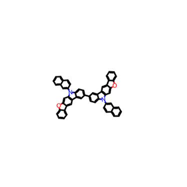 c1ccc2cc(-n3c4ccc(-c5ccc6c(c5)c5cc7c(cc5n6-c5ccc6ccccc6c5)oc5ccccc57)cc4c4cc5c(cc43)oc3ccccc35)ccc2c1